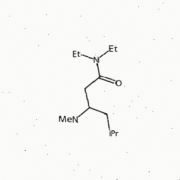 CCN(CC)C(=O)CC(CC(C)C)NC